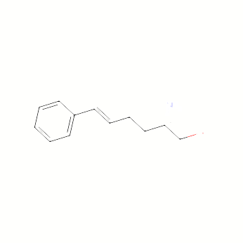 N[C@H](CO)CCC=Cc1ccccc1